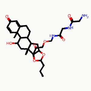 CCCC1OC2CC3C4CCC5=CC(=O)C=CC5(C)C4C(O)CC3(C)C2(C(=O)COCNC(=O)CNC(=O)CN)O1